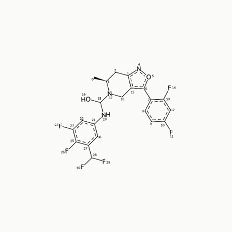 C[C@H]1Cc2noc(-c3ccc(F)cc3F)c2CN1C(O)Nc1cc(F)c(F)c(C(F)F)c1